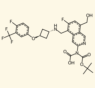 CC(C)(C)OC(=O)N(C(=O)O)c1cc2c(CN[C@H]3C[C@H](Oc4ccc(F)c(C(F)(F)F)c4)C3)c(F)cc(CO)c2cn1